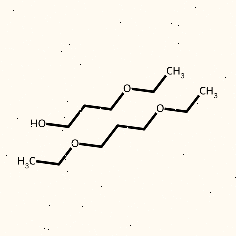 CCOCCCO.CCOCCCOCC